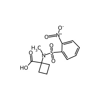 CN(C1(C(=O)O)CCC1)S(=O)(=O)c1ccccc1[N+](=O)[O-]